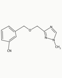 Cn1cnc(COCc2cccc(C#N)c2)n1